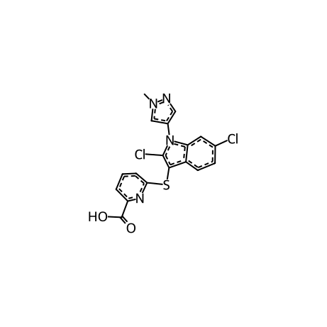 Cn1cc(-n2c(Cl)c(Sc3cccc(C(=O)O)n3)c3ccc(Cl)cc32)cn1